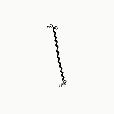 O=C(O)C=CC=CC=CC=CC=CC=CCCCCCCCCCOO